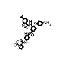 CC(C)c1ccc2c(Nc3cc(C(=O)Nc4ccc(NC(=O)C5CCCN5C(=O)O)cc4)ccc3Sc3ccc(N)cc3)ncnc2n1